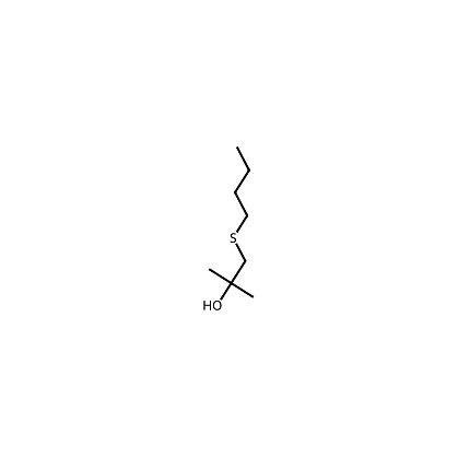 CCCCSCC(C)(C)O